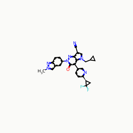 Cn1cc2cc(-n3nc4c(C#N)cn(CC5CC5)c4c(-c4ccc([C@H]5CC5(F)F)nc4)c3=O)ccc2n1